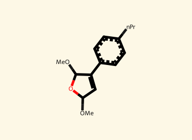 CCCc1ccc(C2=CC(OC)OC2OC)cc1